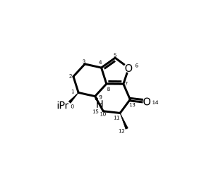 CC(C)[C@H]1CCc2coc3c2[C@@H]1C[C@H](C)C3=O